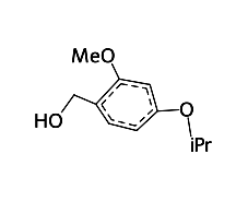 COc1cc(OC(C)C)ccc1CO